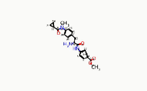 COC(=O)c1ccc(NC(=O)[C@@H](N)Cc2ccc(N(C)C(=O)C3CC3)cc2)cc1